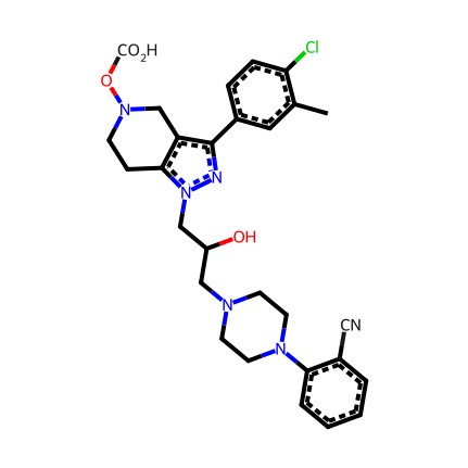 Cc1cc(-c2nn(CC(O)CN3CCN(c4ccccc4C#N)CC3)c3c2CN(OC(=O)O)CC3)ccc1Cl